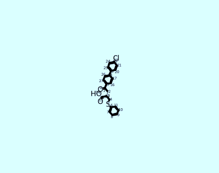 O=C(C[C@H](CSc1ccccc1)C(=O)O)c1ccc(-c2ccc(Cl)cc2)cc1